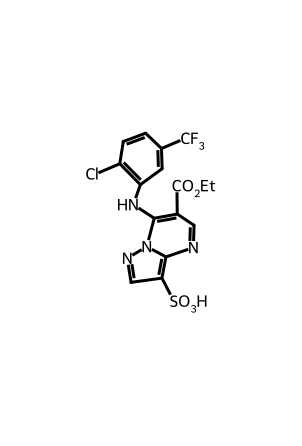 CCOC(=O)c1cnc2c(S(=O)(=O)O)cnn2c1Nc1cc(C(F)(F)F)ccc1Cl